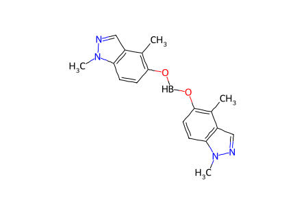 Cc1c(OBOc2ccc3c(cnn3C)c2C)ccc2c1cnn2C